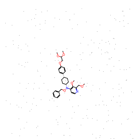 COCc1nccc(N(OCc2ccccc2)[C@H]2CC[C@@H](c3ccc(OCC(OC)OC)cc3)CC2)c1OC